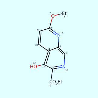 CCOC(=O)c1ncc2nc(OCC)ccc2c1O